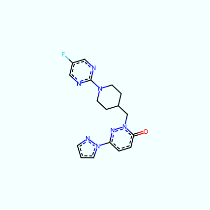 O=c1ccc(-n2cccn2)nn1CC1CCN(c2ncc(F)cn2)CC1